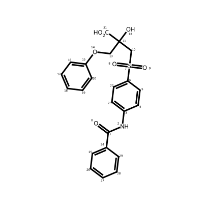 O=C(Nc1ccc(S(=O)(=O)CC(O)(COc2ccccc2)C(=O)O)cc1)c1ccccc1